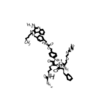 CCCCc1nc2c(N)nc3ccccc3c2n1Cc1ccc(CNC(=O)OCc2ccc(NC(=O)[C@H](CCCNC(N)=O)NC(=O)[C@H](Cc3ccccc3)NC(=O)CCOCCN=[N+]=[N-])cc2)cc1